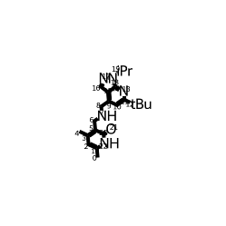 Cc1cc(C)c(CNCc2cc(C(C)(C)C)nc3c2cnn3C(C)C)c(=O)[nH]1